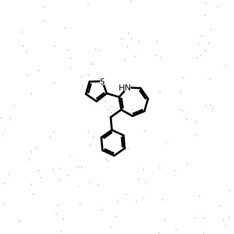 C1=CNC(c2cccs2)=C(Cc2ccccc2)C=C1